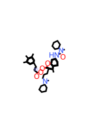 Cc1cc(/C=C/C(=O)OC(Cc2c(C)c3ccc(NC(=O)N(C)C4CCCCC4)cc3oc2=O)CN(C)C2CCCCC2)cc(C)c1C